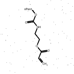 C=CC(=O)OCCNC(=O)OCCCCC